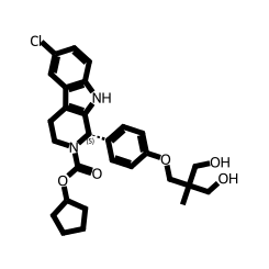 CC(CO)(CO)COc1ccc([C@H]2c3[nH]c4ccc(Cl)cc4c3CCN2C(=O)OC2CCCC2)cc1